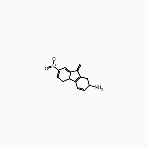 C=C1C2=CC([N+](=O)[O-])=CCC2C2=C1CC(N)C=C2